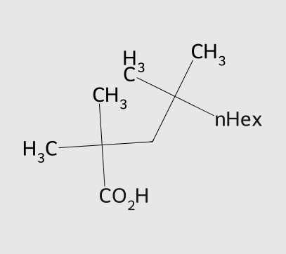 CCCCCCC(C)(C)CC(C)(C)C(=O)O